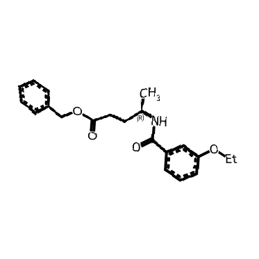 CCOc1cccc(C(=O)N[C@H](C)CCC(=O)OCc2ccccc2)c1